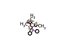 Cc1cc(-c2sc3c4ccccc4p(-c4ccccc4)c3c2-c2cc(C)sc2C)c(C)s1